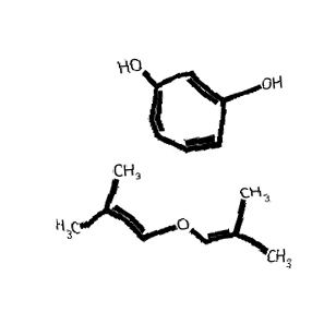 CC(C)=COC=C(C)C.Oc1cccc(O)c1